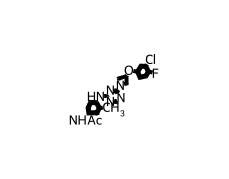 CC(=O)Nc1cccc(Nc2ncnc(N3CC(Oc4ccc(F)c(Cl)c4)C3)n2)c1C